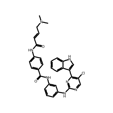 CN(C)CC=CC(=O)Nc1ccc(C(=O)Nc2cccc(Nc3ncc(Cl)c(-c4c[nH]c5ccccc45)n3)c2)cc1